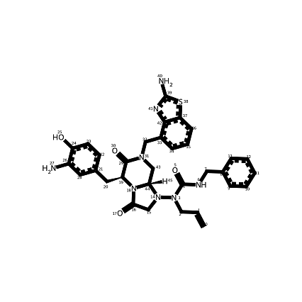 C=CCN(C(=O)NCc1ccccc1)N1CC(=O)N2[C@@H](Cc3ccc(O)c(N)c3)C(=O)N(Cc3cccc4sc(N)nc34)C[C@@H]21